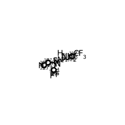 N[C@@H](CNc1nc(-c2ccc(F)c(F)c2)c(-c2ccc3cnccc3c2)s1)Cc1ccc(C(F)(F)F)cc1